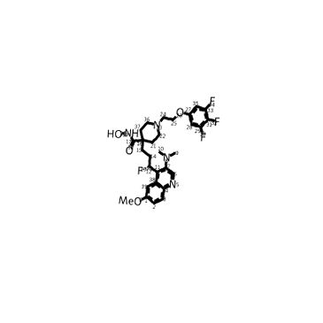 COc1ccc2ncc(N(C)C)c([C@H](F)CCC3(C(=O)NO)CCN(CCOc4cc(F)c(F)c(F)c4)CC3)c2c1